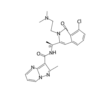 Cc1nn2cccnc2c1C(=O)N[C@@H](C)c1cc2cccc(Cl)c2c(=O)n1CCN(C)C